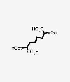 CCCCCCCCC(CCCCC(CCCCCCCC)C(=O)O)C(=O)O